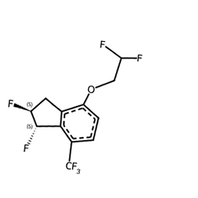 FC(F)COc1ccc(C(F)(F)F)c2c1C[C@H](F)[C@H]2F